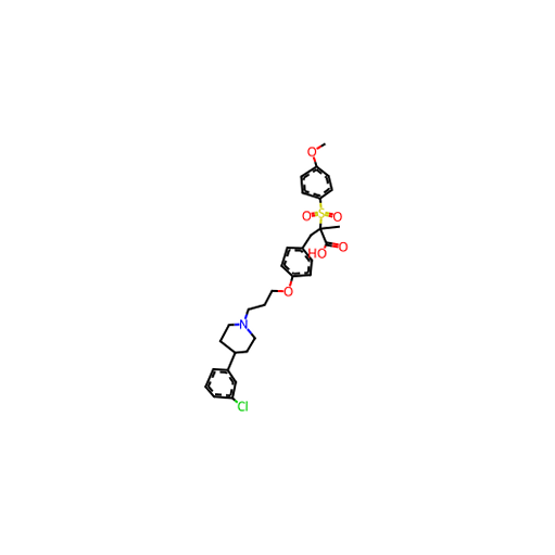 COc1ccc(S(=O)(=O)C(C)(Cc2ccc(OCCCN3CCC(c4cccc(Cl)c4)CC3)cc2)C(=O)O)cc1